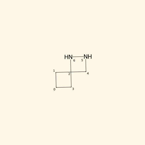 C1CC2(C1)CNN2